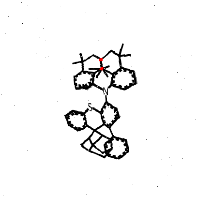 CC1(C)CCC(C)(C)c2c(N(c3ccc(-c4ccccc4)c4c3Sc3ccccc3C43C4CC5CC6CC3C64C5)c3cccc4c3C(C)(C)CCC4(C)C)cccc21